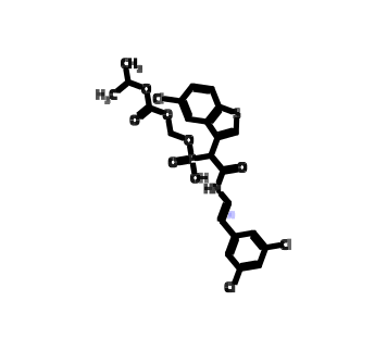 CC(C)OC(=O)OCOP(=O)(O)C(C(=O)N/C=C/c1cc(Cl)cc(Cl)c1)c1csc2ccc(Cl)cc12